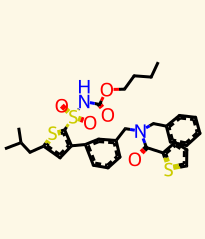 CCCCOC(=O)NS(=O)(=O)c1sc(CC(C)C)cc1-c1cccc(CN(Cc2ccccc2)C(=O)c2cccs2)c1